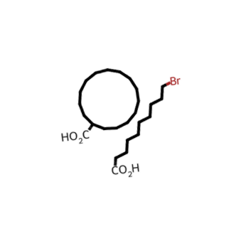 O=C(O)C1CCCCCCCCCCCCCC1.O=C(O)CCCCCCCCCBr